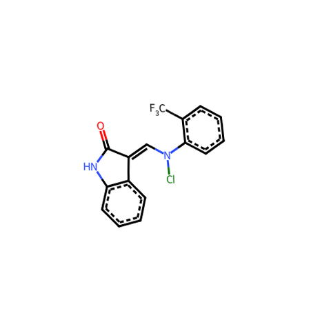 O=C1Nc2ccccc2/C1=C\N(Cl)c1ccccc1C(F)(F)F